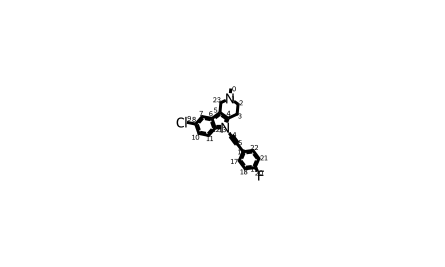 CN1CCc2c(c3cc(Cl)ccc3n2C#Cc2ccc(F)cc2)C1